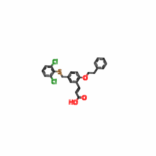 O=C(O)C=Cc1cc(CSc2c(Cl)cccc2Cl)ccc1OCCc1ccccc1